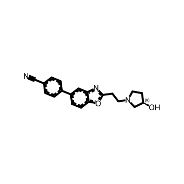 N#Cc1ccc(-c2ccc3oc(CCN4CC[C@@H](O)C4)nc3c2)cc1